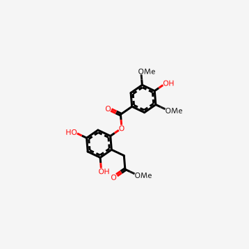 COC(=O)Cc1c(O)cc(O)cc1OC(=O)c1cc(OC)c(O)c(OC)c1